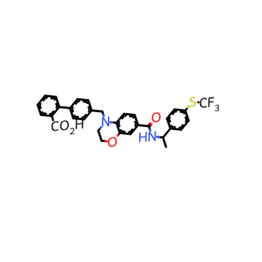 CC(NC(=O)c1ccc2c(c1)OCCN2Cc1ccc(-c2ccccc2C(=O)O)cc1)c1ccc(SC(F)(F)F)cc1